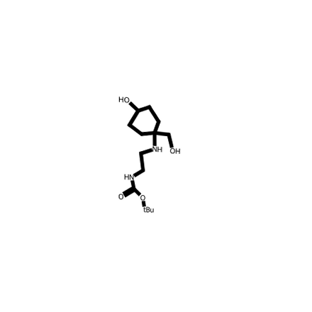 CC(C)(C)OC(=O)NCCNC1(CO)CCC(O)CC1